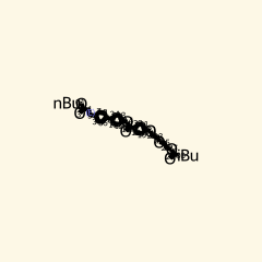 CCCCOC(=O)/C=C/c1ccc(-c2ccc(OC(=O)c3ccc(OCCOCCOC(=O)C(C)CC)cc3)cc2)cc1